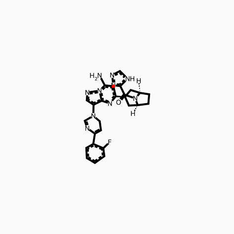 Nc1cc([C@H]2C[C@H]3CC[C@@H](C2)N3C(=O)c2nnc[nH]2)nc2c(N3C=NC(c4ccccc4F)=CC3)cnn12